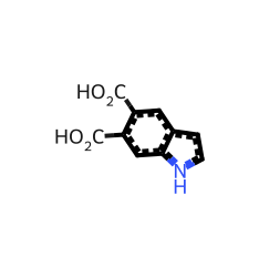 O=C(O)c1cc2cc[nH]c2cc1C(=O)O